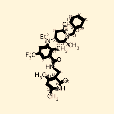 CCN(c1cc(C(F)(F)F)cc(C(=O)NCc2c(C)cc(C)[nH]c2=O)c1C)[C@H]1C[C@@H](C)N(Cc2ccccc2)[C@@H](C)C1